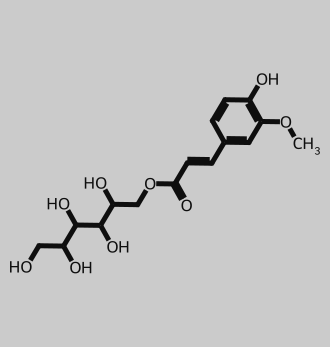 COc1cc(C=CC(=O)OCC(O)C(O)C(O)C(O)CO)ccc1O